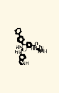 O=C(Nc1ccc2[nH]ccc2c1)NC(c1ccc(C(=O)Nc2nn[nH]n2)cc1)c1ccc(C2CCCCC2)cc1